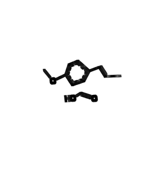 CC=Cc1ccc(OC)cc1.O=CO